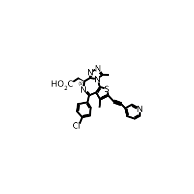 Cc1c(C#Cc2cccnc2)sc2c1C(c1ccc(Cl)cc1)=N[C@@H](CC(=O)O)c1nnc(C)n1-2